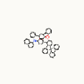 c1ccc(N(c2ccc(-c3cccc4c3-c3ccccc3C43c4ccccc4-c4ccccc43)cc2)c2cccc3ccccc23)c(-c2ccc3oc4ccccc4c3c2)c1